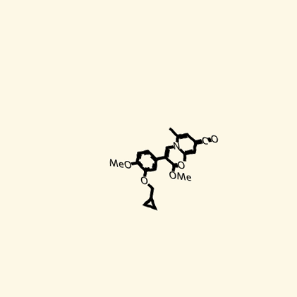 COC(=O)/C(=C\N1C(C)=CC(=C=O)C=C1C)c1ccc(OC)c(OCC2CC2)c1